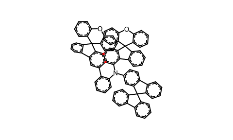 c1ccc2c(c1)Oc1ccccc1C21c2ccccc2-c2cc(-c3ccccc3N(c3ccc4c(c3)C3(c5ccccc5-c5ccccc53)c3ccccc3-4)c3cccc4c3-c3ccccc3C43c4ccccc4Oc4ccccc43)ccc21